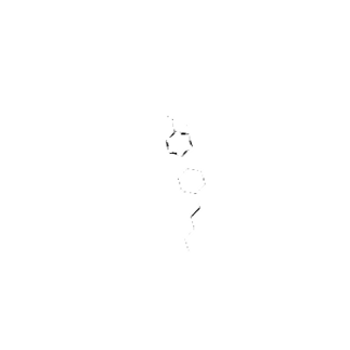 CCC/C=C/[C@H]1CC[C@H](c2ccc(N)cc2)CC1